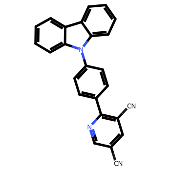 N#Cc1cnc(-c2ccc(-n3c4ccccc4c4ccccc43)cc2)c(C#N)c1